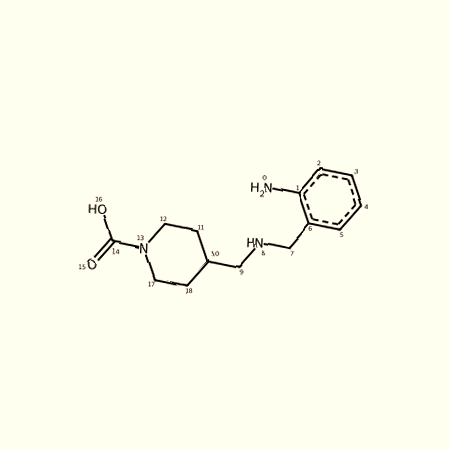 Nc1ccccc1CNCC1CCN(C(=O)O)CC1